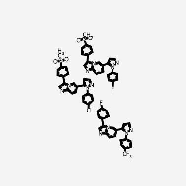 CS(=O)(=O)c1ccc(-c2cnc3ccc(-c4ccnn4-c4ccc(Cl)cc4)cn23)cc1.CS(=O)(=O)c1ccc(-c2cnc3ccc(-c4ccnn4-c4ccc(F)cc4)cn23)cc1.Fc1ccc(-c2cnc3ccc(-c4ccnn4-c4ccc(C(F)(F)F)cc4)cn23)cc1